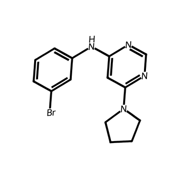 Brc1cccc(Nc2cc(N3CCCC3)ncn2)c1